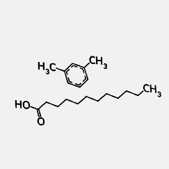 CCCCCCCCCCCC(=O)O.Cc1cccc(C)c1